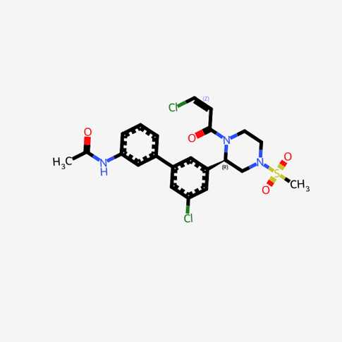 CC(=O)Nc1cccc(-c2cc(Cl)cc([C@@H]3CN(S(C)(=O)=O)CCN3C(=O)/C=C\Cl)c2)c1